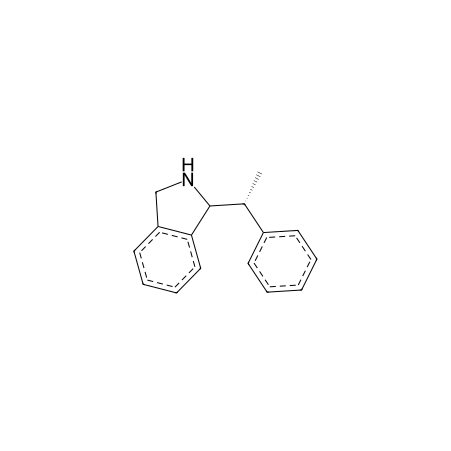 C[C@H](c1ccccc1)C1NCc2ccccc21